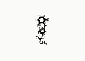 CC(=O)Oc1cn(Cc2c(F)cccc2F)nn1